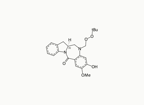 COc1cc2c(cc1O)N(COOC(C)(C)C)C[C@@H]1Cc3ccccc3N1C2=O